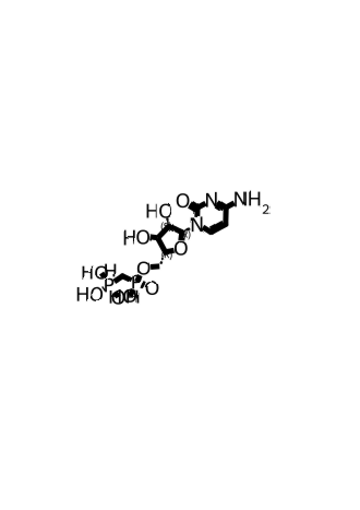 Nc1ccn([C@@H]2O[C@H](COP(=O)(O)C[PH](O)(O)O)C(O)[C@@H]2O)c(=O)n1